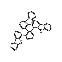 c1cc(-c2cccc3c2sc2ccccc23)c(-c2cccc3c2sc2ccccc23)c(-c2cccc3c2sc2ccccc23)c1